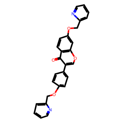 O=c1c(-c2ccc(OCc3ccccn3)cc2)coc2cc(OCc3ccccn3)ccc12